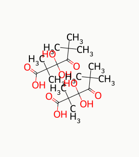 CC(C)(C)C(=O)C(O)(O)C(C)(C)C(=O)O.CC(C)(C)C(=O)C(O)(O)C(C)(C)C(=O)O